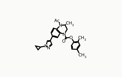 CC(=O)N1c2ccc(-c3cnn(C4CC4)c3)cc2N(C(=O)Oc2ccc(C)cc2C)C[C@@H]1C